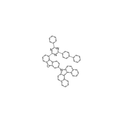 c1ccc(-c2ccc(-c3nc(-c4ccccc4)nc(-c4cccc5oc6cc(-n7c8ccc9ccccc9c8c8c9ccccc9ccc87)ccc6c45)n3)cc2)cc1